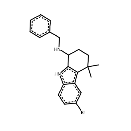 CC1(C)CCC(NCc2ccccc2)c2[nH]c3ccc(Br)cc3c21